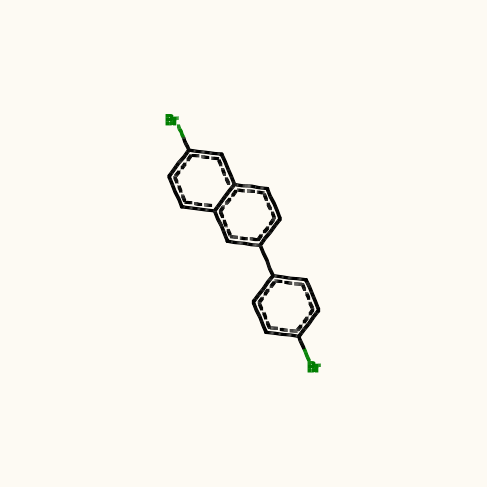 Brc1ccc(-c2ccc3cc(Br)ccc3c2)cc1